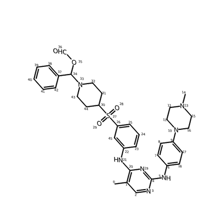 Cc1cnc(Nc2ccc(N3CCN(C)CC3)cc2)nc1Nc1cccc(S(=O)(=O)C2CCN(C(OC=O)c3ccccc3)CC2)c1